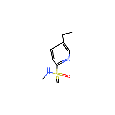 C=S(=O)(NC)c1ccc(CC)cn1